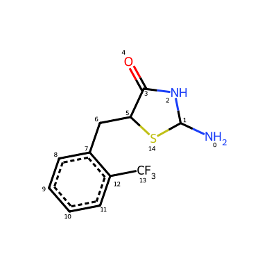 NC1NC(=O)C(Cc2ccccc2C(F)(F)F)S1